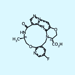 C[C@@H]1COc2ncc(F)cc2CN2c3nc4c(cnn4cc3OC[C@H]2C(=O)O)C(=O)N1